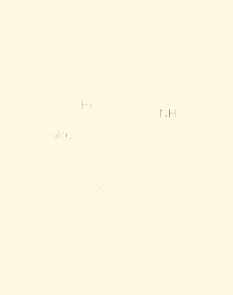 CCCCc1csc2ccc(N)cc12.Cl